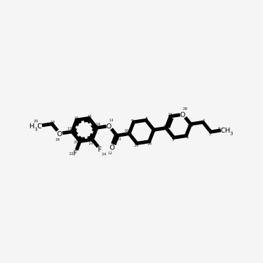 CCCC1CCC(C2CCC(C(=O)Oc3ccc(OCC)c(F)c3F)CC2)=CO1